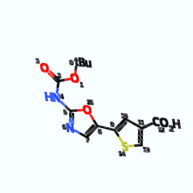 CC(C)(C)OC(=O)Nc1ncc(-c2cc(C(=O)O)cs2)o1